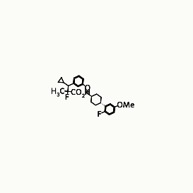 COc1ccc(F)c([C@H]2CC[C@H](COc3cccc(C(C4CC4)C(C)(F)C(=O)O)c3)CC2)c1